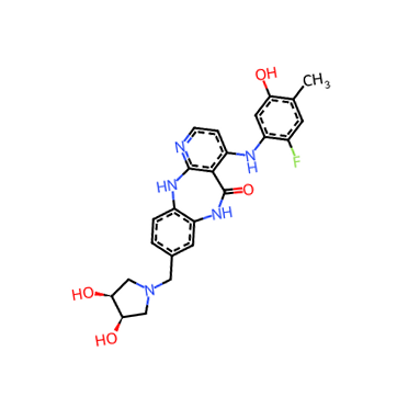 Cc1cc(F)c(Nc2ccnc3c2C(=O)Nc2cc(CN4C[C@@H](O)[C@@H](O)C4)ccc2N3)cc1O